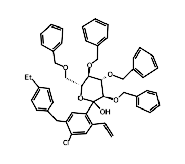 C=Cc1cc(Cl)c(Cc2ccc(CC)cc2)cc1C1(O)O[C@H](COCc2ccccc2)[C@@H](OCc2ccccc2)[C@H](OCc2ccccc2)[C@H]1OCc1ccccc1